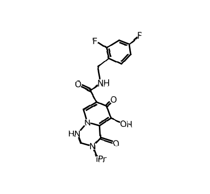 CC(C)N1CNn2cc(C(=O)NCc3ccc(F)cc3F)c(=O)c(O)c2C1=O